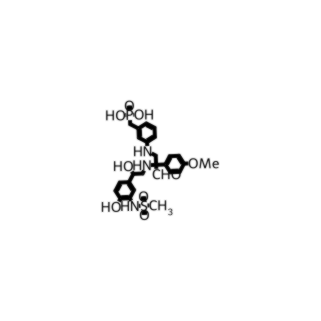 COc1ccc(C(C=O)(CNc2cccc(CP(=O)(O)O)c2)NCC(O)c2ccc(O)c(NS(C)(=O)=O)c2)cc1